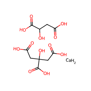 O=C(O)CC(O)(CC(=O)O)C(=O)O.O=C(O)CC(O)C(=O)O.[CaH2]